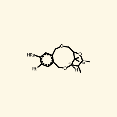 CC1[C@H](C)OC2COCc3c[c]([RaH])[c]([Rb])cc3CO[C@@H]1C2(C)C